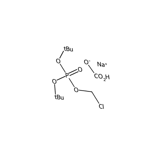 CC(C)(C)OP(=O)(OCCl)OC(C)(C)C.O=C([O-])O.[Na+]